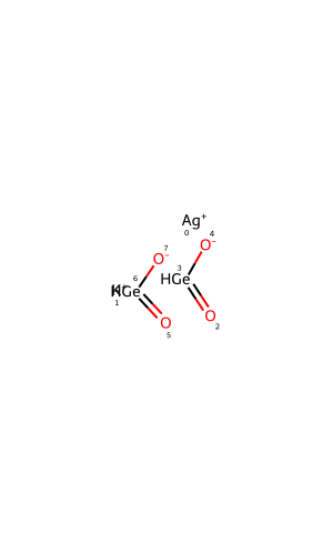 [Ag+].[K+].[O]=[GeH][O-].[O]=[GeH][O-]